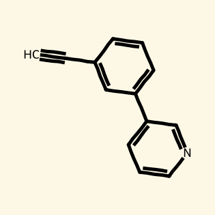 C#Cc1cccc(-c2cccnc2)c1